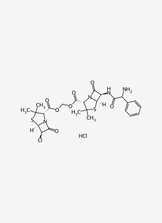 CC1(C)S[C@@H]2[C@H](Cl)C(=O)N2[C@H]1C(=O)OCOC(=O)[C@@H]1N2C(=O)[C@@H](NC(=O)C(N)c3ccccc3)[C@H]2SC1(C)C.Cl